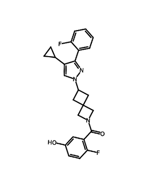 O=C(c1cc(O)ccc1F)N1CC2(CC(n3cc(C4CC4)c(-c4ccccc4F)n3)C2)C1